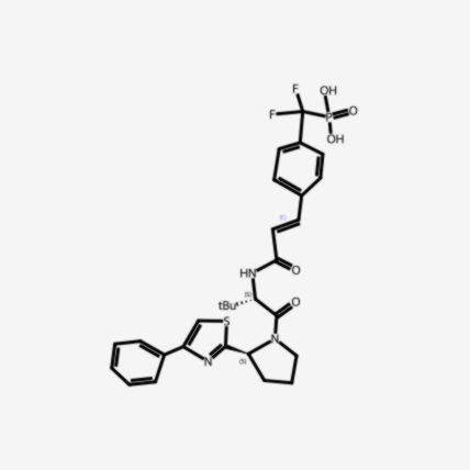 CC(C)(C)[C@H](NC(=O)/C=C/c1ccc(C(F)(F)P(=O)(O)O)cc1)C(=O)N1CCC[C@H]1c1nc(-c2ccccc2)cs1